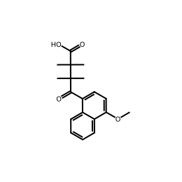 COc1ccc(C(=O)C(C)(C)C(C)(C)C(=O)O)c2ccccc12